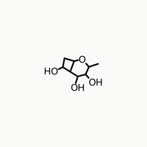 CC1OC2CC(O)C2C(O)C1O